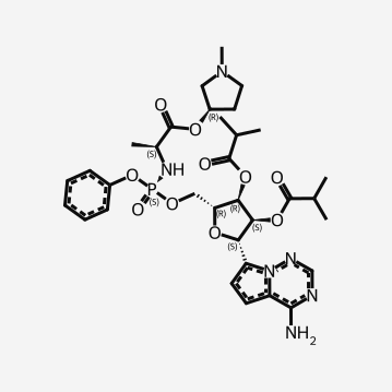 CC(C)C(=O)O[C@@H]1[C@H](OC(=O)C(C)C)[C@@H](CO[P@@](=O)(N[C@@H](C)C(=O)O[C@@H]2CCN(C)C2)Oc2ccccc2)O[C@H]1c1ccc2c(N)ncnn12